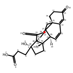 O=C(O)CC[C@]1(O)CC[C@H]2[C@@H]3C=CC4=CC(=O)CC[C@@]45COC(=O)[C@]21CCC35